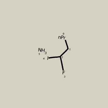 CCCCC(F)I.N